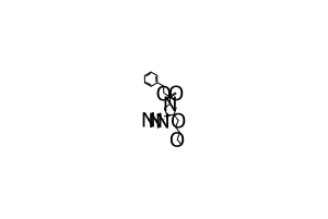 COCCO[C@@H]1CN(C(=O)OCc2ccccc2)C[C@H]1N=[N+]=[N-]